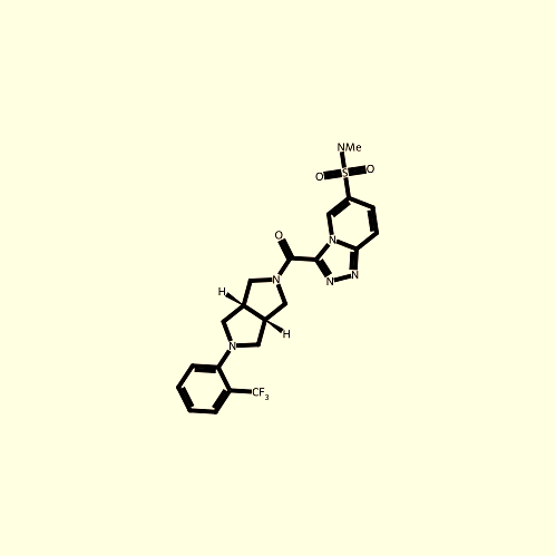 CNS(=O)(=O)c1ccc2nnc(C(=O)N3C[C@@H]4CN(c5ccccc5C(F)(F)F)C[C@@H]4C3)n2c1